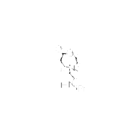 CC(C)NCC[N+]1(C)CCOC(=O)CC1